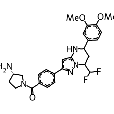 COc1ccc(C2CC(C(F)F)n3nc(-c4ccc(C(=O)N5CC[C@H](N)C5)cc4)cc3N2)cc1OC